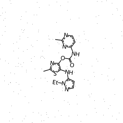 CCn1nccc1Nc1sc(C)nc1OC(=O)Nc1ccnc(C)n1